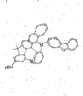 CC(C)(C)c1cc(C(C)(C)C)c2c(c1)C(C)(C)c1cccc(-c3ccccc3N(c3ccc4c(c3)oc3ccccc34)c3cccc4ccccc34)c1-2